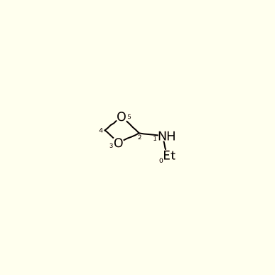 CCNC1OCO1